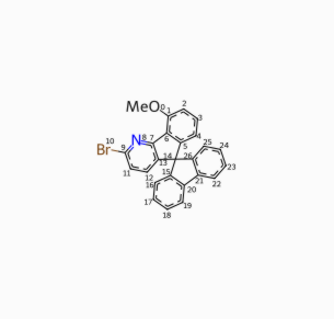 COc1cccc2c1-c1nc(Br)ccc1C21c2ccccc2-c2ccccc21